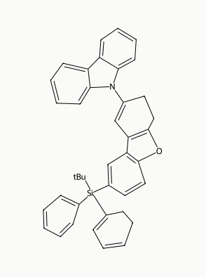 CC(C)(C)[Si](C1=CC=CCC1)(c1ccccc1)c1ccc2oc3c(c2c1)C=C(n1c2ccccc2c2ccccc21)CC3